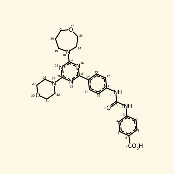 O=C(Nc1ccc(C(=O)O)cc1)Nc1ccc(-c2nc(N3CCCOCC3)nc(N3CCOCC3)n2)cc1